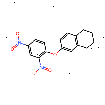 O=[N+]([O-])c1ccc(Oc2ccc3c(c2)CCCC3)c([N+](=O)[O-])c1